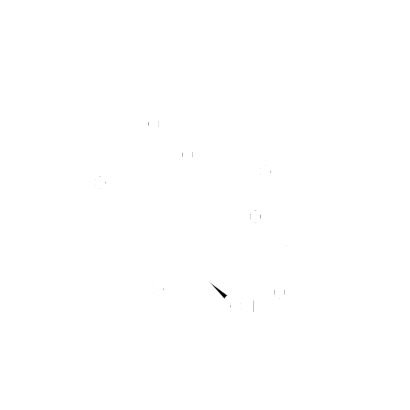 CC(=O)OC1C(OC(C)=O)[C@@H](O)OC(C)[C@@H]1OC(C)=O